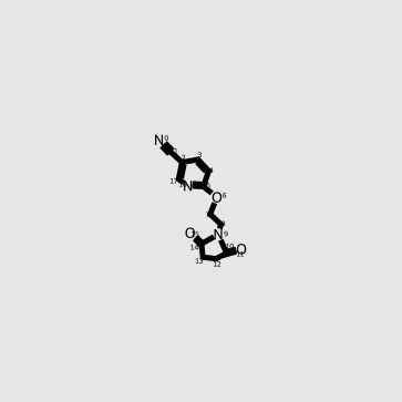 N#Cc1ccc(OCCN2C(=O)CCC2=O)nc1